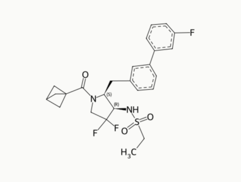 CCS(=O)(=O)N[C@@H]1[C@H](Cc2cccc(-c3cccc(F)c3)c2)N(C(=O)C23CC(C2)C3)CC1(F)F